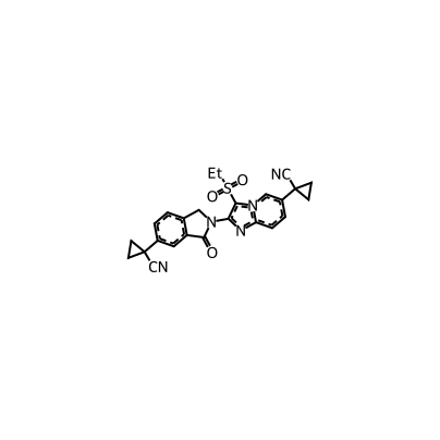 CCS(=O)(=O)c1c(N2Cc3ccc(C4(C#N)CC4)cc3C2=O)nc2ccc(C3(C#N)CC3)cn12